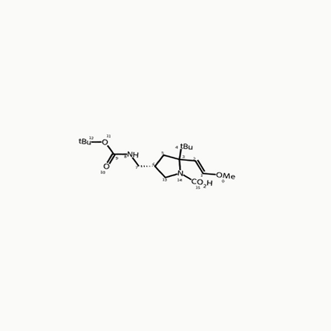 COC=CC1(C(C)(C)C)C[C@@H](CNC(=O)OC(C)(C)C)CN1C(=O)O